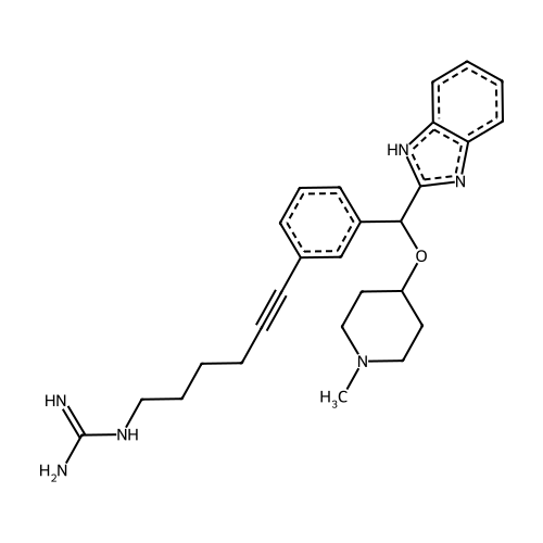 CN1CCC(OC(c2cccc(C#CCCCCNC(=N)N)c2)c2nc3ccccc3[nH]2)CC1